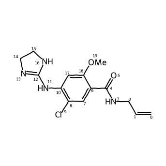 C=CCNC(=O)c1cc(Cl)c(NC2=NCCN2)cc1OC